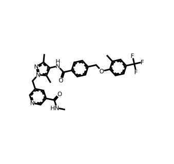 CNC(=O)c1cncc(Cn2nc(C)c(NC(=O)c3ccc(COc4ccc(C(F)(F)F)cc4C)cc3)c2C)c1